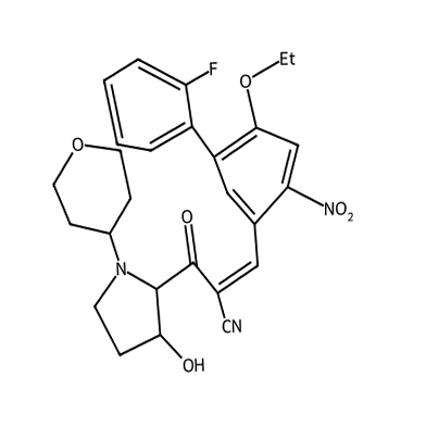 CCOc1cc([N+](=O)[O-])c(C=C(C#N)C(=O)C2C(O)CCN2C2CCOCC2)cc1-c1ccccc1F